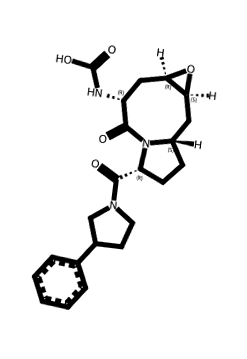 O=C(O)N[C@@H]1C[C@H]2O[C@H]2C[C@@H]2CC[C@H](C(=O)N3CCC(c4ccccc4)C3)N2C1=O